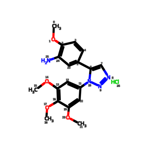 COc1ccc(-c2cnnn2-c2cc(OC)c(OC)c(OC)c2)cc1N.Cl